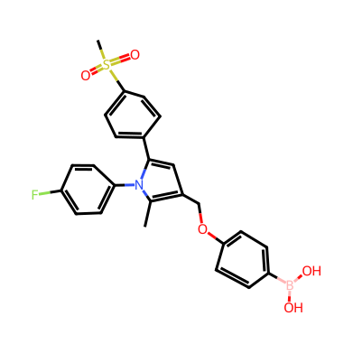 Cc1c(COc2ccc(B(O)O)cc2)cc(-c2ccc(S(C)(=O)=O)cc2)n1-c1ccc(F)cc1